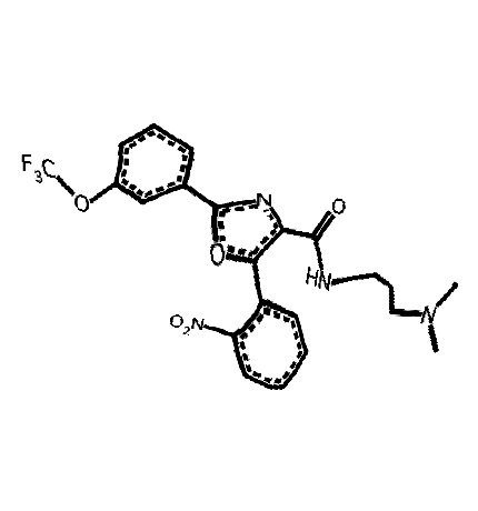 CN(C)CCNC(=O)c1nc(-c2cccc(OC(F)(F)F)c2)oc1-c1ccccc1[N+](=O)[O-]